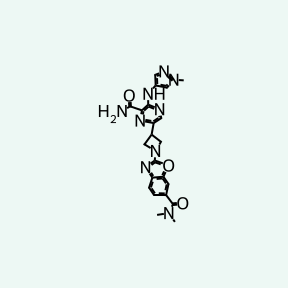 CN(C)C(=O)c1ccc2nc(N3CC(c4cnc(Nc5cnn(C)c5)c(C(N)=O)n4)C3)oc2c1